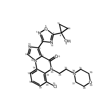 O=c1c2c(-c3noc(C4(O)CC4)n3)ncn2c2cccc(Cl)c2n1CCN1CCOCC1